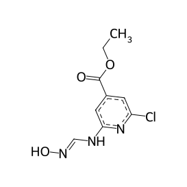 CCOC(=O)c1cc(Cl)nc(N/C=N/O)c1